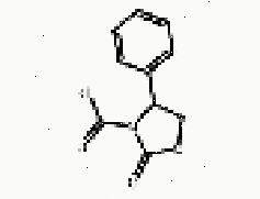 O=C(Cl)N1C(=O)OCC1c1ccccc1